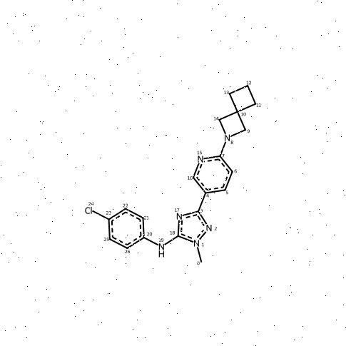 Cn1nc(-c2ccc(N3CC4(CCC4)C3)nc2)nc1Nc1ccc(Cl)cc1